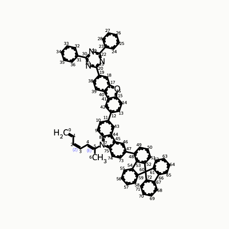 C=C/C=C\C=C(/C)n1c2ccc(-c3ccc4oc5cc(-c6nc(-c7ccccc7)nc(-c7ccccc7)n6)ccc5c4c3)cc2c2cc(-c3cccc4c3-c3ccccc3C43c4ccccc4-c4ccccc43)ccc21